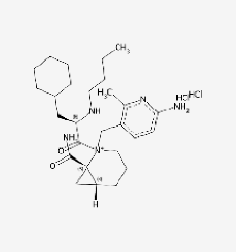 CCCCN[C@H](CC1CCCCC1)C(=O)[N+]1(Cc2ccc(N)nc2C)CCC[C@@H]2C[C@@]21C(N)=O.Cl.Cl